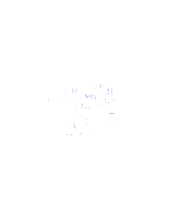 Cc1cc(C(=O)N[C@@H](CC(=O)N2CCC[C@@H]2c2ccccc2)C(=O)N[C@@H](C)c2ncc(Cc3ccccc3)[nH]2)no1